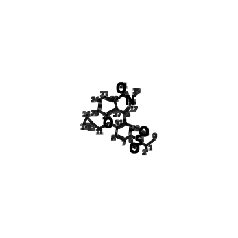 CC(C)S(=O)(=O)c1ccc(OCC2CC2)c(-c2cn(C)c(=O)c3ccccc23)c1